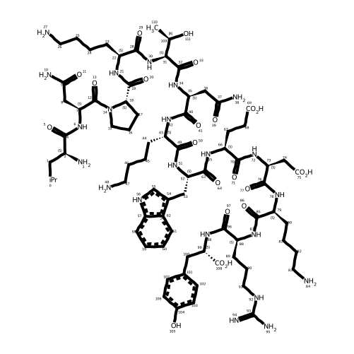 CC(C)C[C@H](N)C(=O)N[C@@H](CC(N)=O)C(=O)N1CCC[C@H]1C(=O)N[C@@H](CCCCN)C(=O)N[C@H](C(=O)N[C@@H](CC(N)=O)C(=O)N[C@@H](CCCCN)C(=O)N[C@@H](Cc1c[nH]c2ccccc12)C(=O)N[C@@H](CCC(=O)O)C(=O)N[C@@H](CC(=O)O)C(=O)N[C@@H](CCCCN)C(=O)N[C@@H](CCCNC(=N)N)C(=O)N[C@@H](Cc1ccc(O)cc1)C(=O)O)[C@@H](C)O